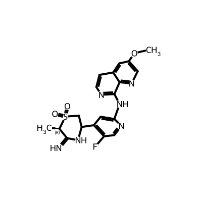 COc1cnc2c(Nc3cc(C4CS(=O)(=O)[C@H](C)C(=N)N4)c(F)cn3)nccc2c1